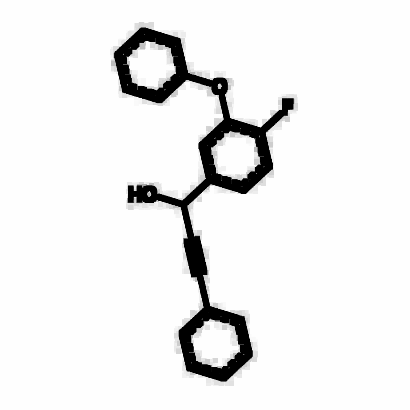 OC(C#Cc1ccccc1)c1ccc(F)c(Oc2ccccc2)c1